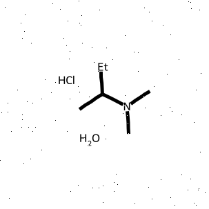 CCC(C)N(C)C.Cl.O